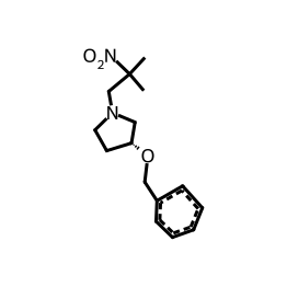 CC(C)(CN1CC[C@@H](OCc2ccccc2)C1)[N+](=O)[O-]